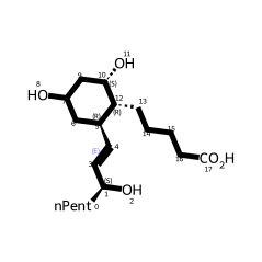 CCCCC[C@H](O)/C=C/[C@H]1CC(O)C[C@H](O)[C@@H]1CCCCC(=O)O